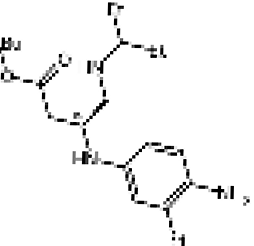 CCC(CC)NC[C@H](CC(=O)OC(C)(C)C)Nc1ccc(N)c(Cl)c1